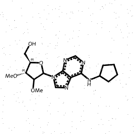 COC1C(n2cnc3c(NC4CCCC4)ncnc32)O[C@H](CO)[C@H]1OC